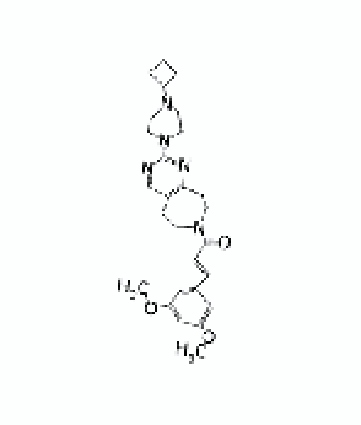 COc1cc(C=CC(=O)N2CCc3cnc(N4CCN(C5CCC5)CC4)nc3CC2)cc(OC)c1